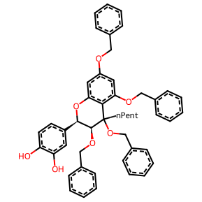 CCCCCC1(OCc2ccccc2)c2c(OCc3ccccc3)cc(OCc3ccccc3)cc2O[C@H](c2ccc(O)c(O)c2)[C@@H]1OCc1ccccc1